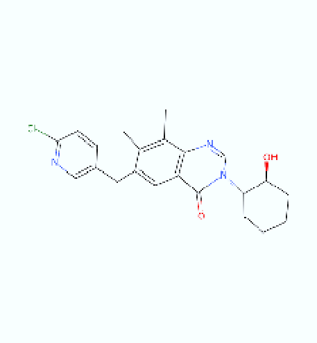 Cc1c(Cc2ccc(Cl)nc2)cc2c(=O)n([C@H]3CCCC[C@@H]3O)cnc2c1C